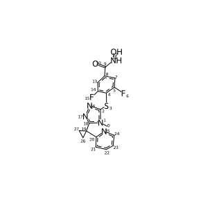 Cn1c(Sc2c(F)cc(C(=O)NO)cc2F)nnc1C1(c2ccccn2)CC1